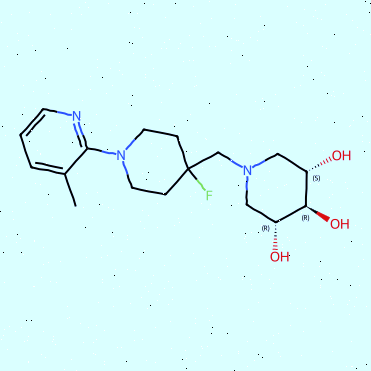 Cc1cccnc1N1CCC(F)(CN2C[C@@H](O)[C@H](O)[C@@H](O)C2)CC1